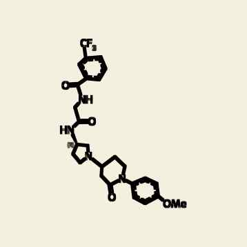 COc1ccc(N2CCC(N3CC[C@@H](NC(=O)CNC(=O)c4cccc(C(F)(F)F)c4)C3)CC2=O)cc1